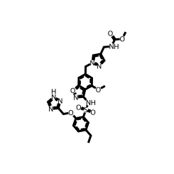 CCc1ccc(OCc2nc[nH]n2)c(S(=O)(=O)Nc2noc3cc(Cn4cc(CNC(=O)OC)cn4)cc(OC)c23)c1